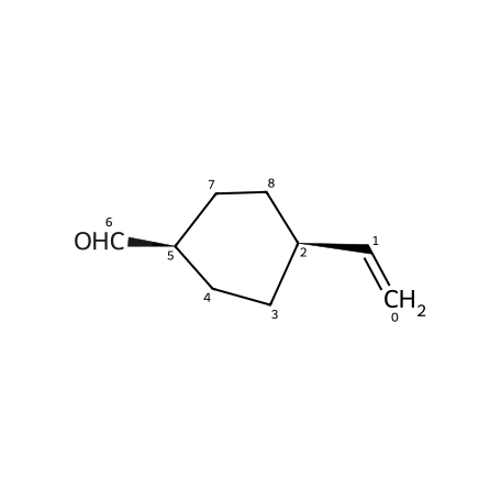 C=C[C@H]1CC[C@@H](C=O)CC1